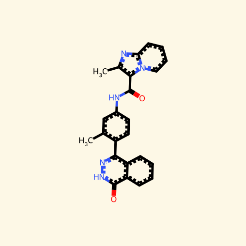 Cc1cc(NC(=O)c2c(C)nc3ccccn23)ccc1-c1n[nH]c(=O)c2ccccc12